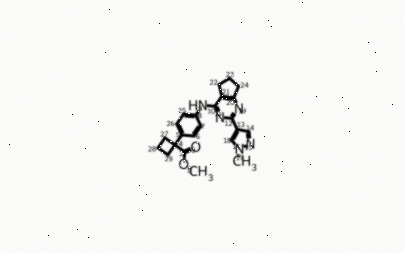 COC(=O)C1(c2ccc(Nc3nc(-c4cnn(C)c4)nc4c3CCC4)cc2)CCC1